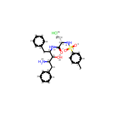 Cc1ccc(S(=O)(=O)N[C@H](C(=O)NC(Cc2ccccc2)C(O)C(N)Cc2ccccc2)C(C)C)cc1.Cl